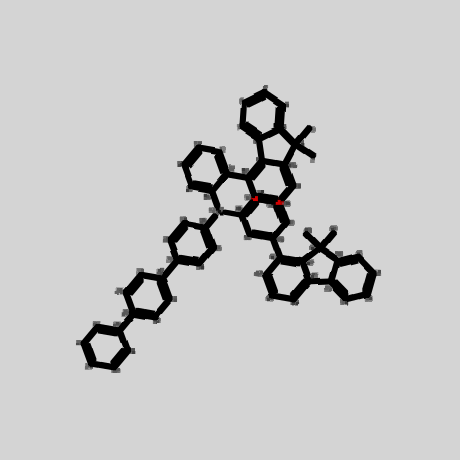 CC1(C)c2ccccc2-c2c(-c3ccccc3N(c3ccc(-c4ccc(-c5ccccc5)cc4)cc3)c3cccc(-c4cccc5c4C(C)(C)c4ccccc4-5)c3)cccc21